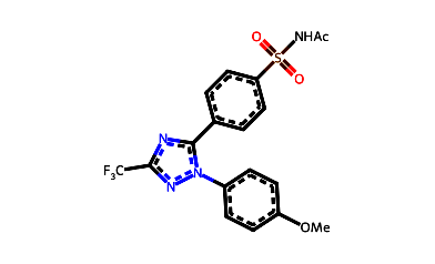 COc1ccc(-n2nc(C(F)(F)F)nc2-c2ccc(S(=O)(=O)NC(C)=O)cc2)cc1